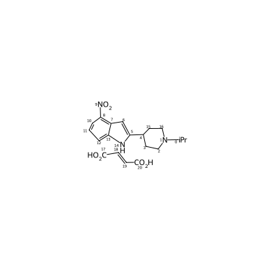 CC(C)N1CCC(c2cc3c([N+](=O)[O-])cccc3[nH]2)CC1.O=C(O)C=CC(=O)O